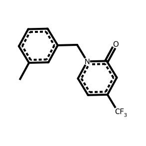 Cc1cccc(Cn2ccc(C(F)(F)F)cc2=O)c1